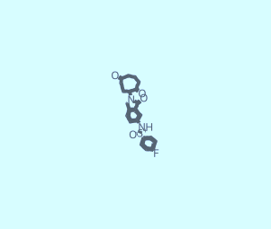 O=C1CCCC(=O)C(N2Cc3ccc(N[S+]([O-])c4ccc(F)cc4)cc3C2=O)CC1